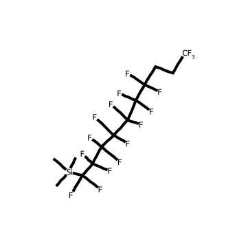 C[Si](C)(C)C(F)(F)C(F)(F)C(F)(F)C(F)(F)C(F)(F)C(F)(F)C(F)(F)CCC(F)(F)F